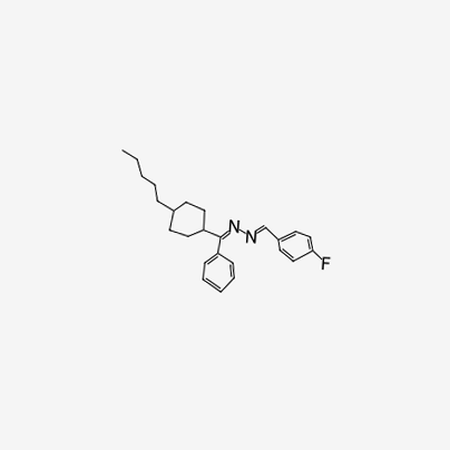 CCCCCC1CCC(C(=NN=Cc2ccc(F)cc2)c2ccccc2)CC1